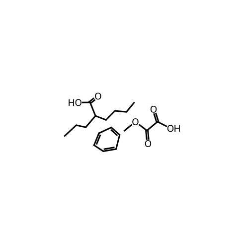 CCCCC(CCC)C(=O)O.COC(=O)C(=O)O.c1ccccc1